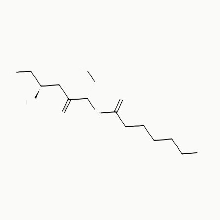 CCCCCCCCCCCCCCCC(=O)N[C@@H](CS)C(=O)[CH][C@@H](O)CO